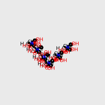 CC(C)c1c(C(=O)O)c2c(O)cccc2n1Cc1ccc(O)cc1.CC(C)c1c(C(=O)O)c2c(O)cccc2n1Cc1ccccc1O.CC(C)c1c(C(=O)O)c2cc(O)ccc2n1Cc1ccc(O)cc1.CC(C)c1c(C(=O)O)c2cc(O)ccc2n1Cc1ccccc1O.CC(C)c1c(C(=O)O)c2ccc(O)cc2n1Cc1ccc(O)cc1.CC(C)c1c(C(=O)O)c2cccc(O)c2n1Cc1ccc(O)cc1